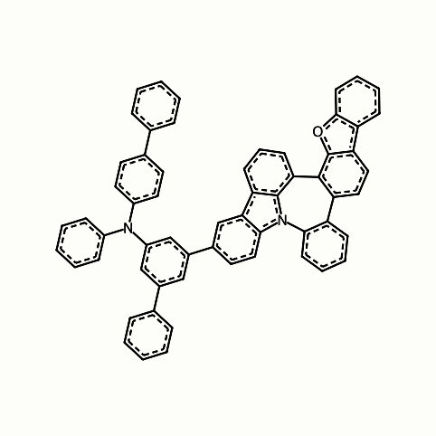 c1ccc(-c2ccc(N(c3ccccc3)c3cc(-c4ccccc4)cc(-c4ccc5c(c4)c4cccc6c4n5-c4ccccc4-c4ccc5c(oc7ccccc75)c4-6)c3)cc2)cc1